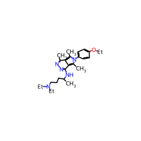 CCOc1ccc(-n2c(C)c3c(C)nnc(NC(C)CCCN(CC)CC)c3c2C)cc1